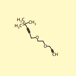 C#CCOCCOCC#C[Si](C)(C)C